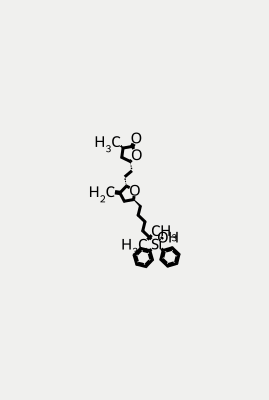 C=C1C[C@H](CCCCC(C)(C)[Si](O)(c2ccccc2)c2ccccc2)O[C@H]1CC[C@@H]1C[C@@H](C)C(=O)O1